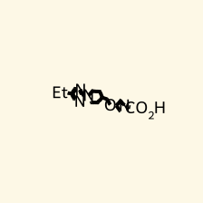 CCc1cnc(N2CCC(COC3CN(C(=O)O)C3)CC2)nc1